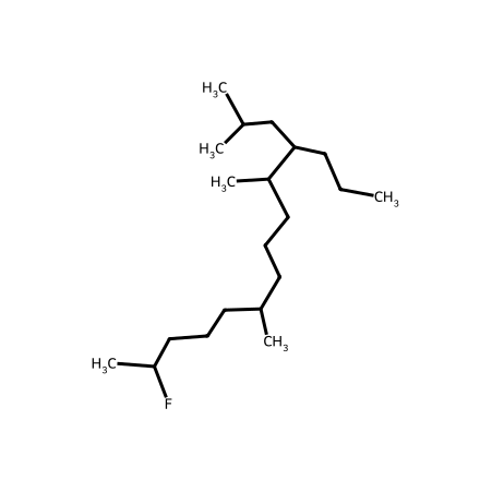 CCCC(CC(C)C)C(C)CCCC(C)CCCC(C)F